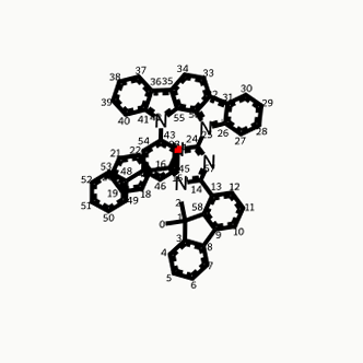 CC1(C)c2ccccc2-c2cccc(-c3nc(-c4ccccc4)nc(-n4c5ccccc5c5ccc6c7ccccc7n(-c7cccc(-c8ccccc8)c7)c6c54)n3)c21